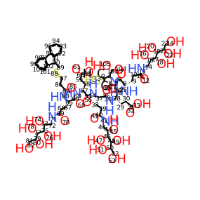 CC(C)(S)[C@H](NC(=O)[C@H](CCC(=O)NC[C@H](O)[C@@H](O)[C@H](O)[C@H](O)CO)NC(=O)[C@H](CCC(=O)O)NC(=O)[C@H](CCC(=O)NC[C@H](O)[C@@H](O)[C@H](O)[C@H](O)CO)NC(=O)[C@H](CCC(=O)O)NC(=O)[C@H](CCC(=O)NC[C@H](O)[C@@H](O)[C@H](O)[C@H](O)CO)NC(=O)CCSCC1c2ccccc2-c2ccccc21)C(=O)O